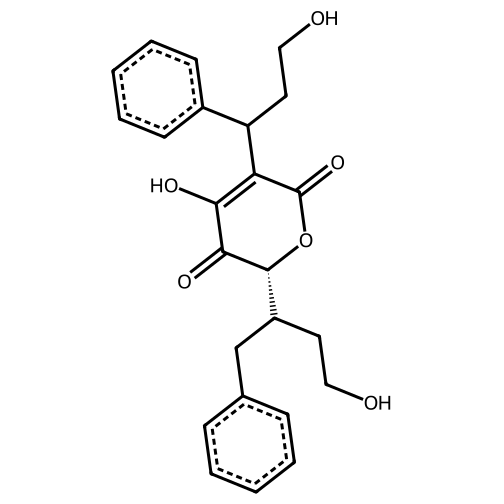 O=C1O[C@H](C(CCO)Cc2ccccc2)C(=O)C(O)=C1C(CCO)c1ccccc1